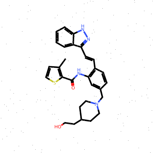 Cc1ccsc1C(=O)Nc1cc(CN2CCC(CCO)CC2)ccc1C=Cc1n[nH]c2ccccc12